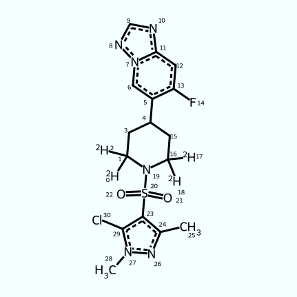 [2H]C1([2H])CC(c2cn3ncnc3cc2F)CC([2H])([2H])N1S(=O)(=O)c1c(C)nn(C)c1Cl